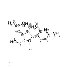 Nc1ccn([C@@H]2O[C@H](CO)[C@@H](OP(N)O)C2N)c(=O)n1